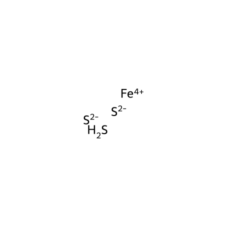 S.[Fe+4].[S-2].[S-2]